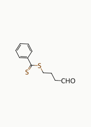 O=CCCCSC(=S)c1ccccc1